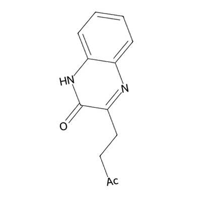 CC(=O)CCc1nc2ccccc2[nH]c1=O